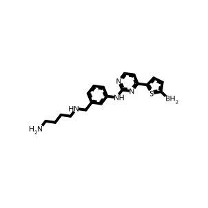 Bc1ccc(-c2ccnc(Nc3cccc(CNCCCCN)c3)n2)s1